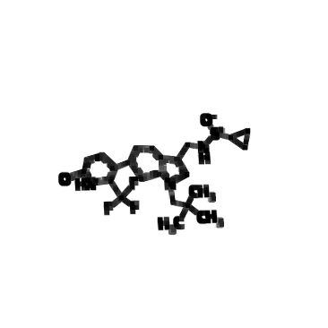 CC(C)(C)Cn1cc(CN[S+]([O-])C2CC2)c2ccc(-c3ccc(=O)[nH]c3C(F)(F)F)cc21